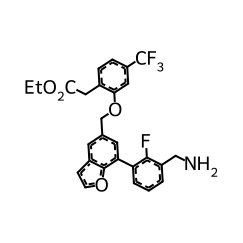 CCOC(=O)Cc1ccc(C(F)(F)F)cc1OCc1cc(-c2cccc(CN)c2F)c2occc2c1